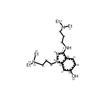 CCN(CC)CCCNc1nn(CCCN(CC)CC)c2cc(O)ccc12